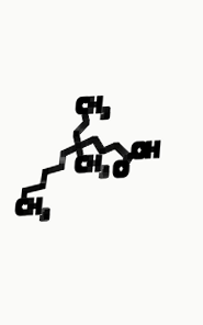 CCCCCCC(C)(CCC)CCCC(=O)O